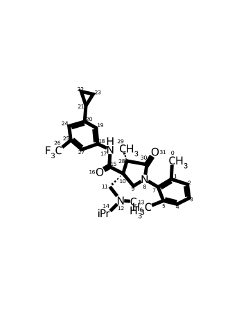 Cc1cccc(C)c1N1C[C@@](CN(C)C(C)C)(C(=O)Nc2cc(C3CC3)cc(C(F)(F)F)c2)[C@H](C)C1=O